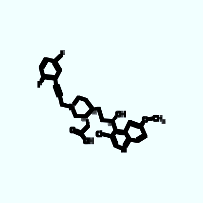 COc1ccc2ncc(Cl)c([C@@H](O)CC[C@@H]3CCN(CC#Cc4cc(F)ccc4F)C[C@H]3CC(=O)O)c2c1